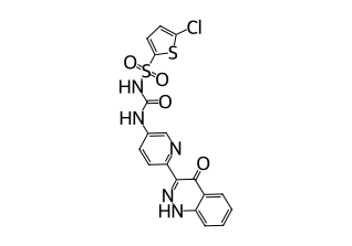 O=C(Nc1ccc(-c2n[nH]c3ccccc3c2=O)nc1)NS(=O)(=O)c1ccc(Cl)s1